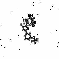 Cc1cc(-c2cccc(OC(F)(F)F)c2)sc1[C@]1(C)CS(=O)(=O)N(C)C(=N)N1